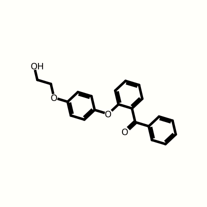 O=C(c1ccccc1)c1ccccc1Oc1ccc(OCCO)cc1